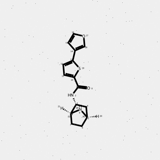 O=C(N[C@@H]1C[C@H]2CC[C@@H]1N2)c1ccc(-c2ccoc2)s1